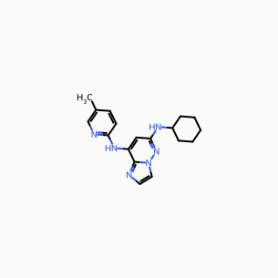 Cc1ccc(Nc2cc(NC3CCCCC3)nn3ccnc23)nc1